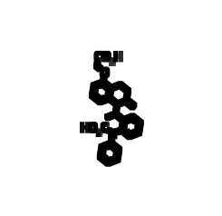 C=C1CCc2c(OCC(=O)O)cccc2C1C(C)c1ccccc1N(C(=O)O)c1ccccc1